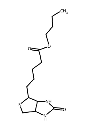 CCCCOC(=O)CCCCC1SCC2NC(=O)NC21